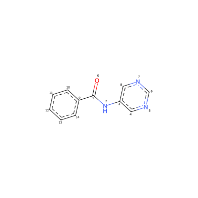 O=C(Nc1cncnc1)c1ccccc1